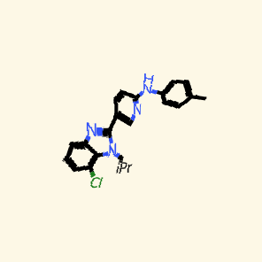 Cc1ccc(Nc2ccc(-c3nc4cccc(Cl)c4n3CC(C)C)cn2)cc1